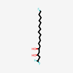 OC(CCCCCCCCCCCCCF)CC(O)CC(F)F